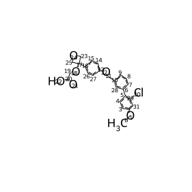 COc1ccc(-c2cccc(COc3ccc(C4(OCC(=O)O)COC4)cc3)c2)c(Cl)c1